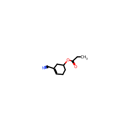 CCC(=O)OC1CCC=C(C#N)C1